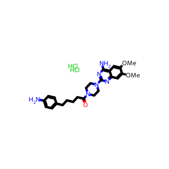 COc1cc2nc(N3CCN(C(=O)CCCCc4ccc(N)cc4)CC3)nc(N)c2cc1OC.Cl.Cl